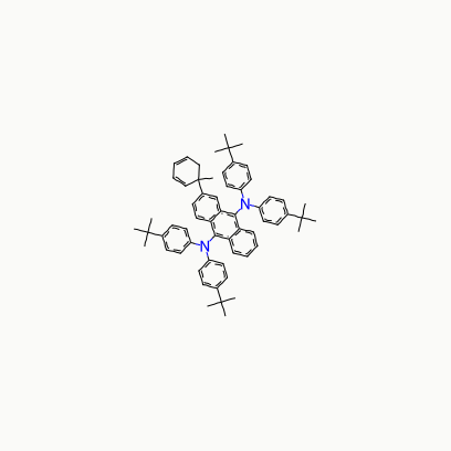 CC(C)(C)c1ccc(N(c2ccc(C(C)(C)C)cc2)c2c3ccccc3c(N(c3ccc(C(C)(C)C)cc3)c3ccc(C(C)(C)C)cc3)c3cc(C4(C)C=CC=CC4)ccc23)cc1